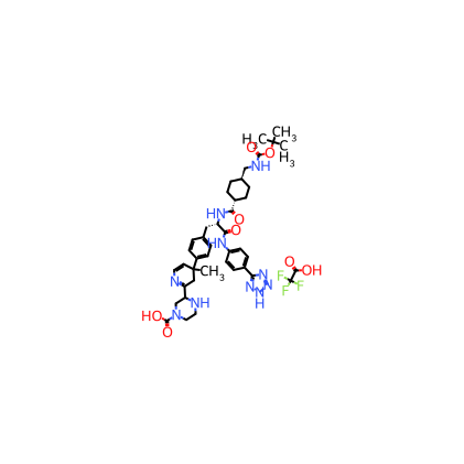 CC(C)(C)OC(=O)NC[C@H]1CC[C@H](C(=O)N[C@@H](Cc2ccc(C3(C)C=CN=C(C4CN(C(=O)O)CCN4)C3)cc2)C(=O)Nc2ccc(-c3nn[nH]n3)cc2)CC1.O=C(O)C(F)(F)F